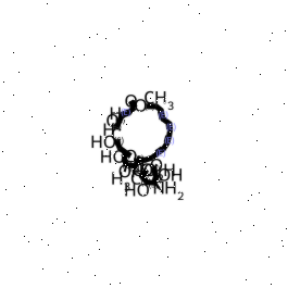 C[C@@H]1C/C=C/C=C/C=C/C=C/C(O[C@@H]2O[C@H](C)[C@@H](O)[C@H](N)[C@H]2O)C[C@@H]2O[C@](O)(C[C@@H](O)C[C@H]3O[C@@H]3/C=C/C(=O)O1)C[C@H](O)[C@H]2C(=O)O